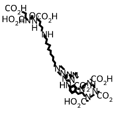 CN(C)c1nc(Nc2ccc(CC3CN(CC(=O)O)CCN(CC(=O)O)CCN(CC(=O)O)CCN3CC(=O)O)cc2)nc(N2CCN(CCCCCCCCCCCNCCCC[C@H](NC(=O)N[C@@H](CCC(=O)O)C(=O)O)C(=O)O)CC2)n1